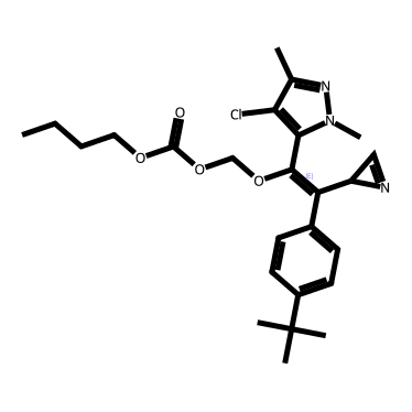 CCCCOC(=O)OCO/C(=C(\c1ccc(C(C)(C)C)cc1)C1C=N1)c1c(Cl)c(C)nn1C